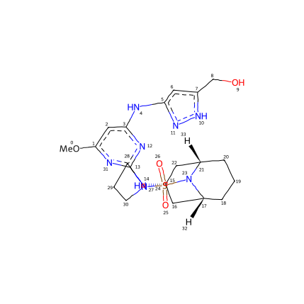 COc1cc(Nc2cc(CO)[nH]n2)nc(N[C@H]2C[C@H]3CCC[C@@H](C2)N3S(=O)(=O)N2CCC2)n1